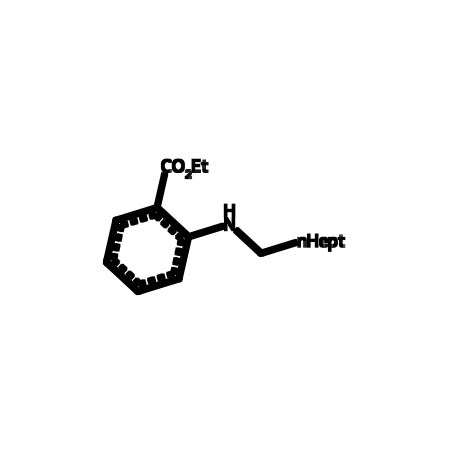 CCCCCCCCNc1ccccc1C(=O)OCC